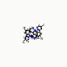 Cc1ccc2c(c1)c1cc(C)ccc1n2-c1ncccc1-c1cccnc1-n1c2ccc(C)cc2c2cc(C)ccc21